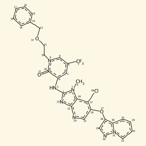 Cn1c(Nc2cc(C(F)(F)F)cn(CCOCc3ccccc3)c2=O)nc2ncc(Oc3cnn4ccccc34)c(Cl)c21